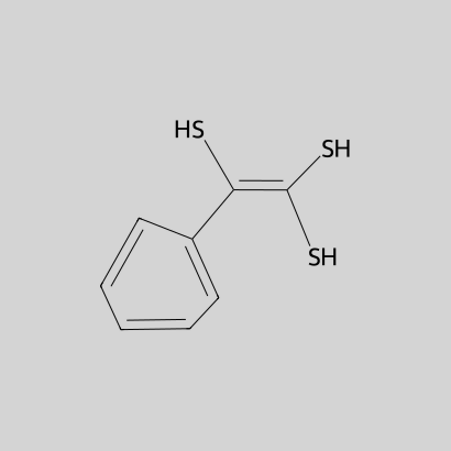 SC(S)=C(S)c1ccccc1